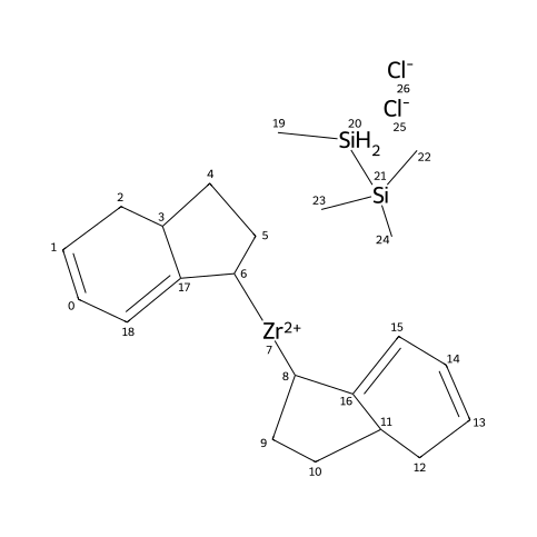 C1=CCC2CC[CH]([Zr+2][CH]3CCC4CC=CC=C43)C2=C1.C[SiH2][Si](C)(C)C.[Cl-].[Cl-]